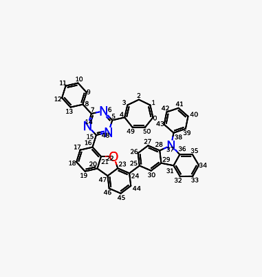 C1=CCC=C(c2nc(-c3ccccc3)nc(-c3cccc4c3oc3c(-c5ccc6c(c5)c5ccccc5n6-c5ccccc5)cccc34)n2)C=C1